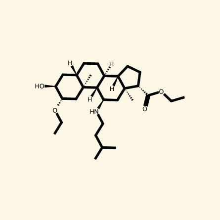 CCOC(=O)[C@H]1CC[C@H]2[C@@H]3CC[C@H]4C[C@H](O)[C@@H](OCC)C[C@]4(C)[C@H]3[C@H](NCCC(C)C)C[C@]12C